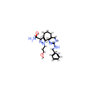 COCCCn1nc(C(N)=O)c2c1-c1nc(NCc3ccccc3)ncc1CCC2